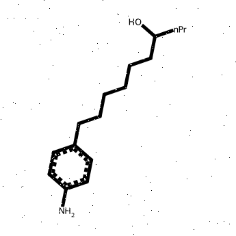 CCCC(O)CCCCCCc1ccc(N)cc1